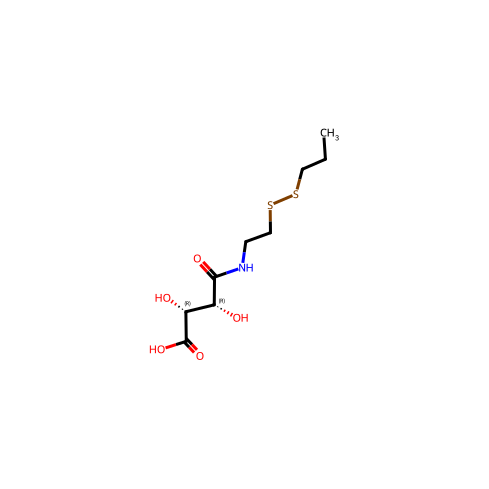 CCCSSCCNC(=O)[C@H](O)[C@@H](O)C(=O)O